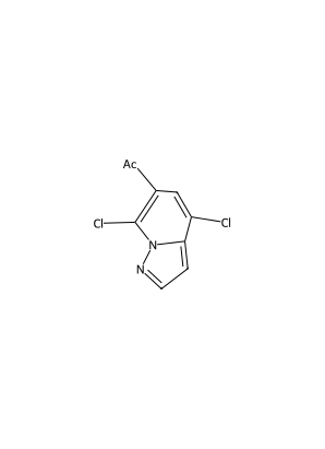 CC(=O)c1cc(Cl)c2ccnn2c1Cl